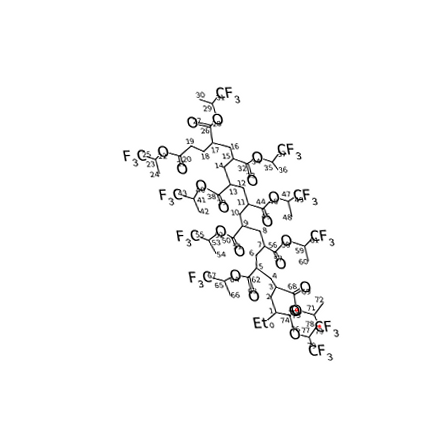 CCC(CC(CC(CC(CC(CC(CC(CC(CC(CCC(=O)OC(C)C(F)(F)F)C(=O)OC(C)C(F)(F)F)C(=O)OC(C)C(F)(F)F)C(=O)OC(C)C(F)(F)F)C(=O)OC(C)C(F)(F)F)C(=O)OC(C)C(F)(F)F)C(=O)OC(C)C(F)(F)F)C(=O)OC(C)C(F)(F)F)C(=O)OC(C)C(F)(F)F)C(=O)OC(C)C(F)(F)F